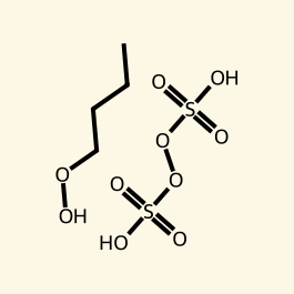 CCCCOO.O=S(=O)(O)OOS(=O)(=O)O